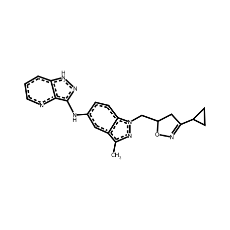 Cc1nn(CC2CC(C3CC3)=NO2)c2ccc(Nc3n[nH]c4cccnc34)cc12